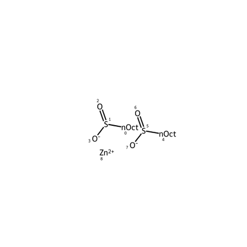 CCCCCCCCS(=O)[O-].CCCCCCCCS(=O)[O-].[Zn+2]